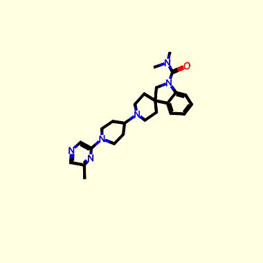 Cc1cncc(N2CCC(N3CCC4(CC3)CN(C(=O)N(C)C)c3ccccc34)CC2)n1